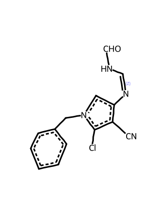 N#Cc1c(/N=C\NC=O)cn(Cc2ccccc2)c1Cl